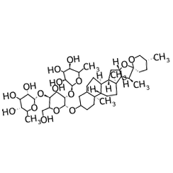 CC1O[C@@H](O[C@@H]2C(CO)O[C@@H](OC3CC[C@@]4(C)C(=CC[C@H]5[C@@H]6C[C@@H]7O[C@]8(CC[C@@H](C)CO8)[C@@H](C)[C@@H]7[C@@]6(C)CC[C@@H]54)C3)[C@@H](O[C@@H]3OC(C)[C@H](O)C(O)[C@@H]3O)C2O)[C@@H](O)C(O)[C@H]1O